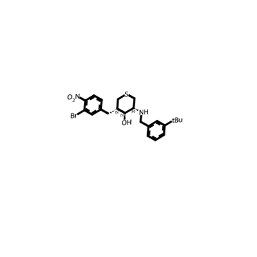 CC(C)(C)c1cccc(CN[C@H]2CSC[C@@H](Cc3ccc([N+](=O)[O-])c(Br)c3)[C@@H]2O)c1